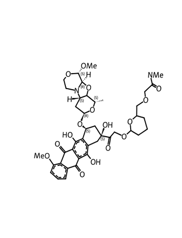 CNC(=O)COCC1CCCC(OCC(=O)[C@]2(O)Cc3c(O)c4c(c(O)c3[C@@H](O[C@H]3C[C@H]5C(O[C@@H]6[C@@H](OC)OCCN65)[C@H](C)O3)C2)C(=O)c2c(OC)cccc2C4=O)O1